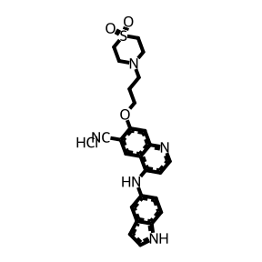 Cl.N#Cc1cc2c(Nc3ccc4[nH]ccc4c3)ccnc2cc1OCCCN1CCS(=O)(=O)CC1